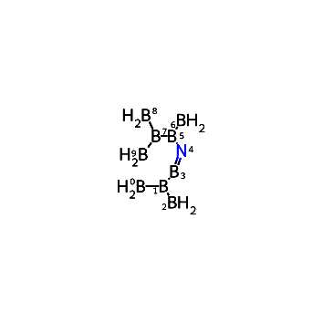 BB(B)/B=N/B(B)B(B)B